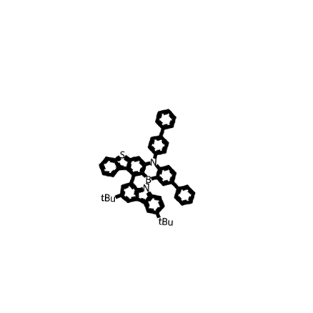 CC(C)(C)c1ccc2c(c1)c1cc(C(C)(C)C)cc3c1n2B1c2cc(-c4ccccc4)ccc2N(c2ccc(-c4ccccc4)cc2)c2cc4sc5ccccc5c4c-3c21